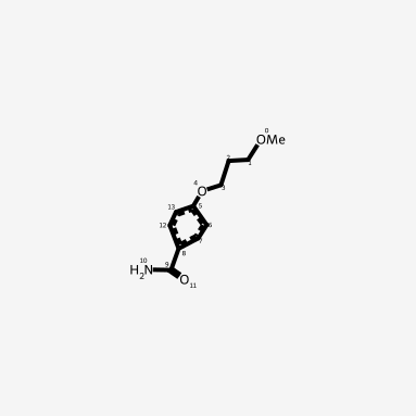 COCCCOc1ccc(C(N)=O)cc1